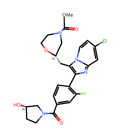 COC(=O)N1CCO[C@@H](Cc2c(-c3ccc(C(=O)N4CC[C@@H](O)C4)cc3F)nc3cc(Cl)ccn23)C1